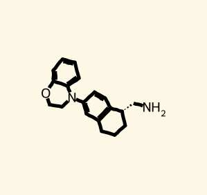 NC[C@@H]1CCCc2cc(N3CCOc4ccccc43)ccc21